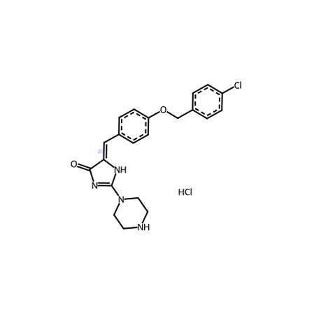 Cl.O=C1N=C(N2CCNCC2)N/C1=C\c1ccc(OCc2ccc(Cl)cc2)cc1